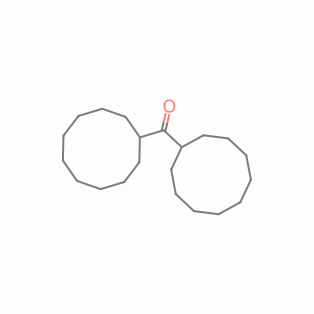 O=C(C1CCCCCCCCC1)C1CCCCCCCCC1